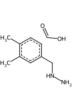 Cc1ccc(CNN)cc1C.O=CO